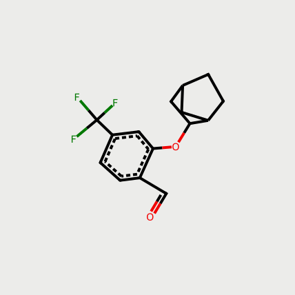 O=Cc1ccc(C(F)(F)F)cc1OC1CC2CCC1C2